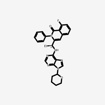 CC[C@H](Nc1ncnc2c1ncn2C1CCCCO1)c1cc2cccc(F)c2c(=O)n1-c1ccccc1